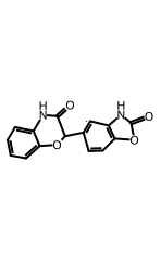 O=C1Nc2ccccc2OC1c1[c]c2[nH]c(=O)oc2cc1